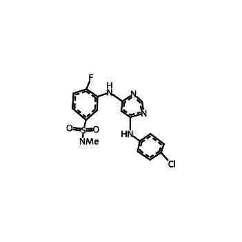 CNS(=O)(=O)c1ccc(F)c(Nc2cc(Nc3ccc(Cl)cc3)ncn2)c1